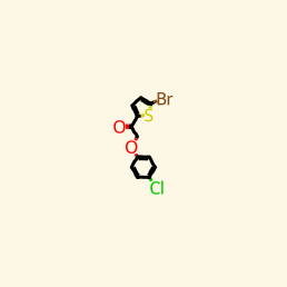 O=C(COc1ccc(Cl)cc1)c1ccc(Br)s1